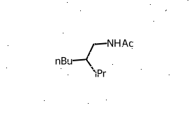 CCCCC(CNC(C)=O)C(C)C